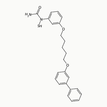 NC(=O)N(S)c1cccc(OCCCCCOc2cccc(-c3ccccc3)c2)c1